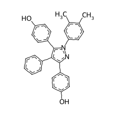 Cc1ccc(-n2nc(-c3ccc(O)cc3)c(-c3ccccc3)c2-c2ccc(O)cc2)cc1C